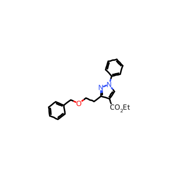 CCOC(=O)c1cn(-c2ccccc2)nc1CCOCc1ccccc1